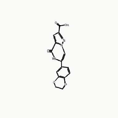 O=C(O)c1cc2c(=O)[nH]c(-c3ccc4c(c3)OCCO4)cn2n1